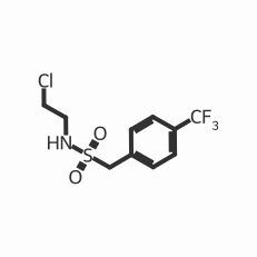 O=S(=O)(Cc1ccc(C(F)(F)F)cc1)NCCCl